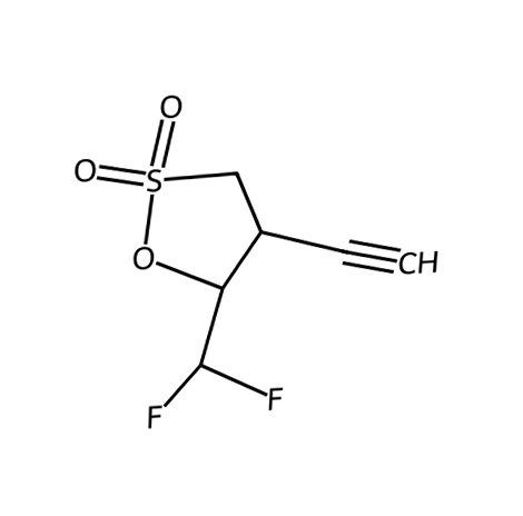 C#CC1CS(=O)(=O)OC1C(F)F